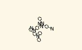 N#Cc1ccc(-c2nc(-c3ccccc3)nc(-c3ccc(-n4c5ncccc5c5ccc6c(c7ccccc7n6-c6ccccc6)c54)cc3)n2)cc1